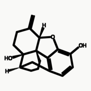 C=C1CC[C@@]2(O)[C@@H]3CCC[C@@]24c2c(ccc(O)c2O[C@@H]14)C3